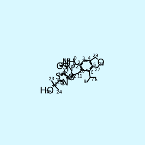 CCc1cc2c(c(C(C)C)c1CC(=O)N=S(N)(=O)c1cnc(C(C)(C)O)s1)COC2